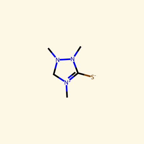 CN1C[N+](C)=C([S-])N1C